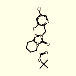 CC(C)(C)OC(=O)[C@@H]1CCCc2nn(Cc3ncc(Cl)cc3F)c(=O)n21